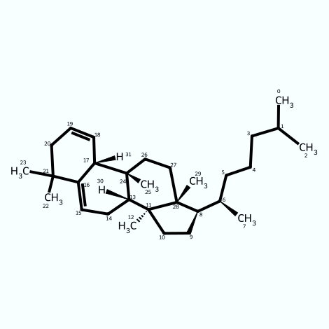 CC(C)CCC[C@@H](C)[C@H]1CC[C@@]2(C)[C@@H]3CC=C4[C@H](C=CCC4(C)C)[C@]3(C)CC[C@]12C